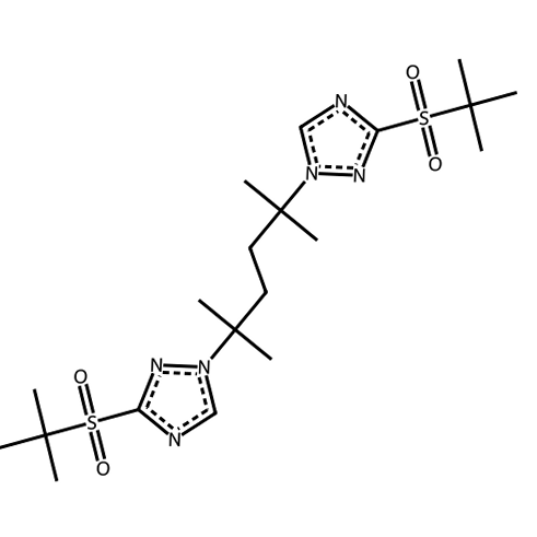 CC(C)(CCC(C)(C)n1cnc(S(=O)(=O)C(C)(C)C)n1)n1cnc(S(=O)(=O)C(C)(C)C)n1